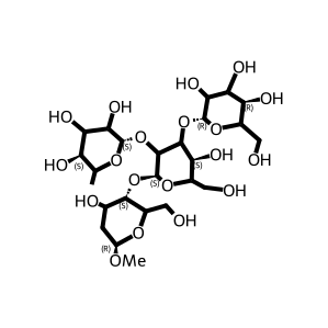 CO[C@H]1CC(O)[C@H](O[C@@H]2OC(CO)[C@H](O)C(O[C@H]3OC(CO)[C@H](O)C(O)C3O)C2O[C@@H]2OC(C)[C@@H](O)C(O)C2O)C(CO)O1